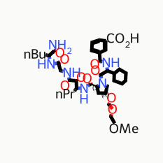 CCCCC(NC(=O)CNC(=O)C(=O)C(CCC)NC(=O)[C@@H]1C[C@@H](OCOCCOC)CN1C(=O)C(NC(=O)c1cccc(C(=O)O)c1)C1CCCCC1)C(N)=O